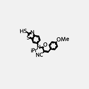 COc1ccc(/C=C(/C#N)C(=O)N(c2ccc3nc(S)sc3c2)C(C)C)cc1